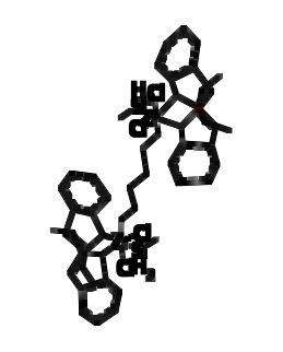 CCC1=Cc2ccccc2[CH]1[Zr]([Cl])([Cl])([CH2]CCCC[CH2][Zr]([Cl])([Cl])([SiH2]C)([CH]1C(CC)=Cc2ccccc21)[CH]1C(CC)=Cc2ccccc21)([SiH2]C)[CH]1C(CC)=Cc2ccccc21